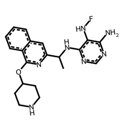 CC(Nc1ncnc(N)c1NF)c1cc2ccccc2c(OC2CCNCC2)n1